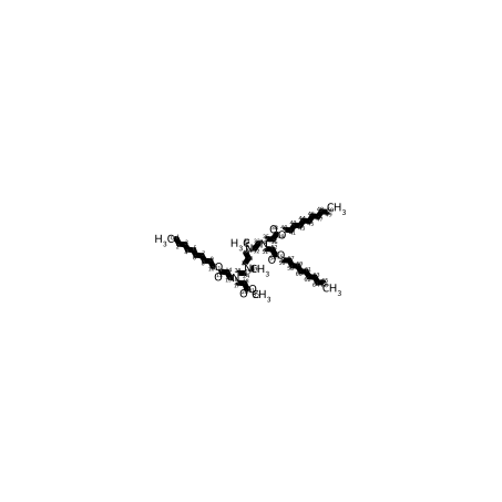 CCCCCCCCCCCOC(=O)CCN(CCC(=O)OC)CCN(C)CCCN(C)CCN(CCC(=O)OCCCCCCCCCCC)CCC(=O)OCCCCCCCCCCC